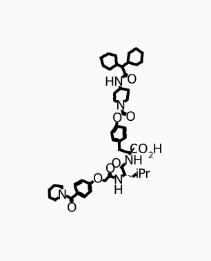 CC(C)C[C@H](NC(=O)COc1ccc(C(=O)N2CCCCC2)cc1)C(=O)N[C@@H](Cc1ccc(OC(=O)N2CCC(NC(=O)C(C3CCCCC3)C3CCCCC3)CC2)cc1)C(=O)O